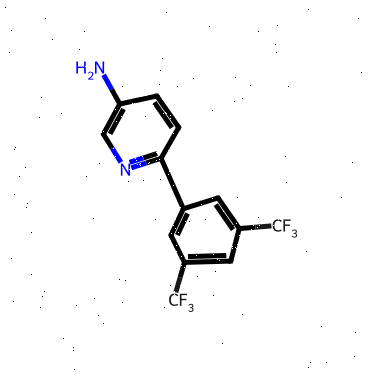 Nc1ccc(-c2cc(C(F)(F)F)cc(C(F)(F)F)c2)nc1